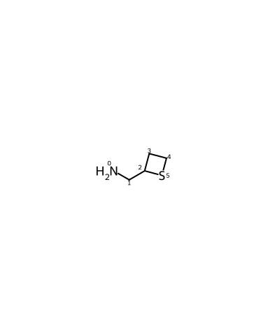 NCC1CCS1